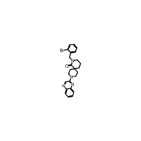 O=C1N(Cc2ccccc2Br)CCCC12CCN(c1cnc3ccccc3n1)CC2